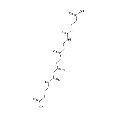 O=C(O)CCCNC(=O)CC(=O)CCC(=O)CCNC(=O)CCCC(=O)O